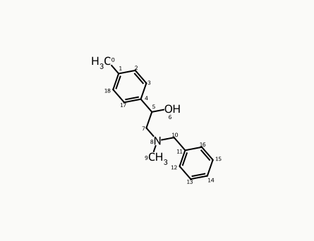 Cc1ccc(C(O)CN(C)Cc2ccccc2)cc1